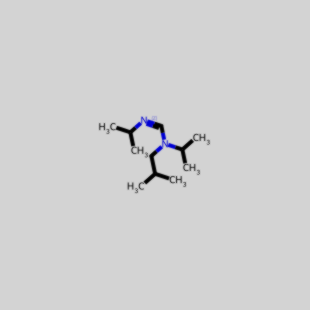 CC(C)CN(/C=N\C(C)C)C(C)C